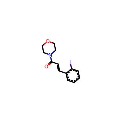 O=C(C=Cc1ccccc1I)N1CCOCC1